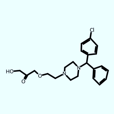 O=C(CO)COCCN1CCN(C(c2ccccc2)c2ccc(Cl)cc2)CC1